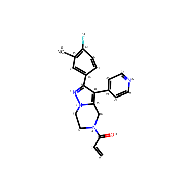 C=CC(=O)N1CCn2nc(-c3ccc(F)c(C#N)c3)c(-c3ccncc3)c2C1